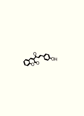 O=C(C=Cc1ccc(O)cc1)c1cc2ccccc2oc1=O